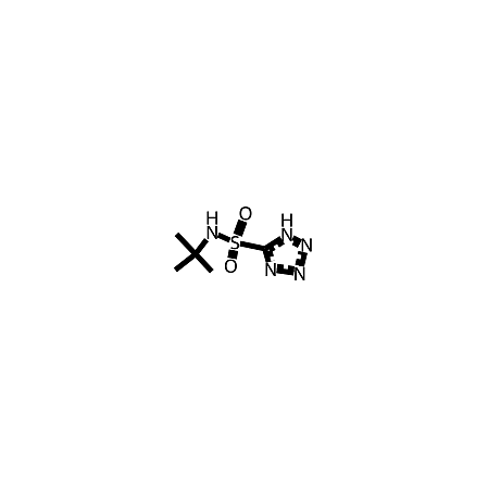 CC(C)(C)NS(=O)(=O)c1nnn[nH]1